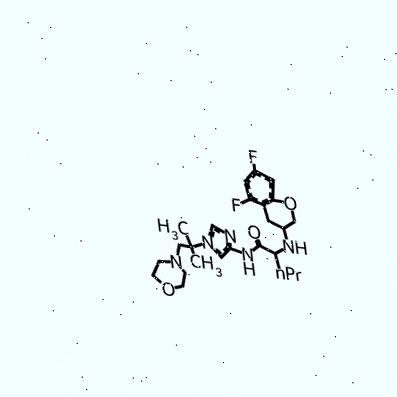 CCCC(NC1COc2cc(F)cc(F)c2C1)C(=O)Nc1cn(C(C)(C)CN2CCOCC2)cn1